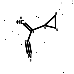 [CH]=C(C#N)C1CC1